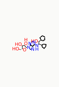 OC[C@H]1O[C@@H](n2cnc3c(N[C@H](c4ccccc4)[C@H](O)c4ccccc4)ncnc32)[C@@H](O)C1O